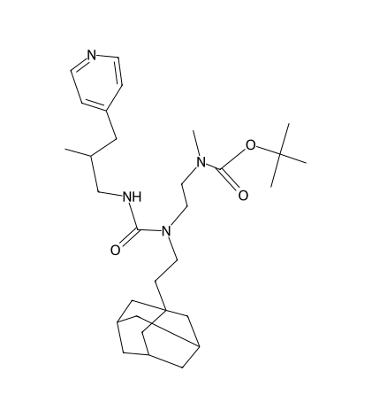 CC(CNC(=O)N(CCN(C)C(=O)OC(C)(C)C)CCC12CC3CC(CC(C3)C1)C2)Cc1ccncc1